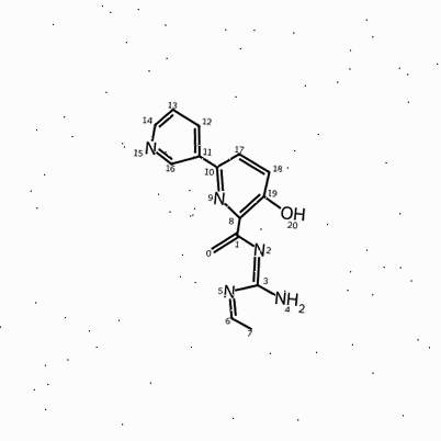 C=C(/N=C(N)\N=C/C)c1nc(-c2cccnc2)ccc1O